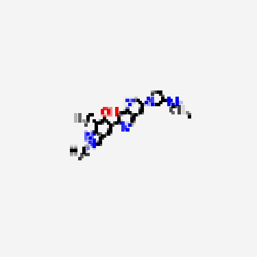 CNC1CCN(c2cnc3cc(-c4cc5cn(C)nc5c(C)c4O)ncc3c2)C1